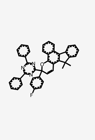 CC1(C)c2ccccc2-c2c1c1c(c3ccccc23)OC(c2ccc(F)cc2)(c2nc(-c3ccccc3)nc(-c3ccccc3)n2)C=C1